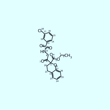 CCOC(=O)C1(C(=O)CNS(=O)(=O)c2cccc(Cl)c2)CCc2ccccc2O1